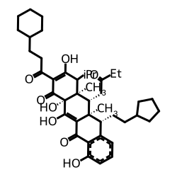 CCC(=O)C[C@@H]1[C@]2(C)C(=C(O)[C@@]3(O)C(=O)C(C(=O)CCC4CCCCC4)=C(O)C(C(C)C)[C@@]13C)C(=O)c1c(O)cccc1[C@H]2CCC1CCCC1